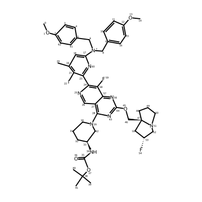 COc1ccc(CN(Cc2ccc(OC)cc2)c2cc(C)c(I)c(-c3ncc4c(N5CCC[C@H](NC(=O)OC(C)(C)C)C5)nc(OC[C@@]56CCCN5C[C@H](F)C6)nc4c3F)n2)cc1